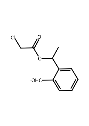 CC(OC(=O)CCl)c1ccccc1[C]=O